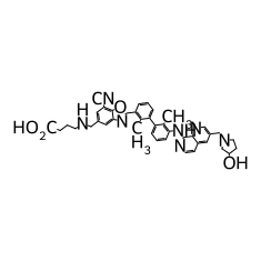 Cc1c(Nc2nccc3cc(CN4CC[C@@H](O)C4)cnc23)cccc1-c1cccc(-c2nc3cc(CNCCCC(=O)O)cc(C#N)c3o2)c1C